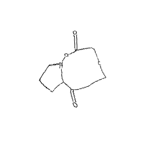 O=C1CCCCC(=O)[C]2CCCN2O1